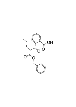 CCCC(C(=O)OCc1ccccc1)C(=O)c1ccccc1C(=O)O